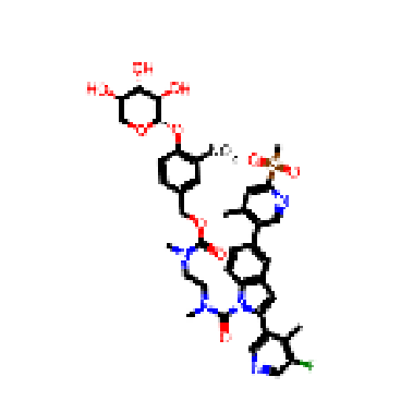 Cc1cc(S(C)(=O)=O)ncc1-c1ccc2c(c1)cc(-c1cncc(F)c1C)n2C(=O)N(C)CCN(C)C(=O)OCc1ccc(O[C@@H]2OC[C@@H](O)[C@H](O)[C@H]2O)c([N+](=O)[O-])c1